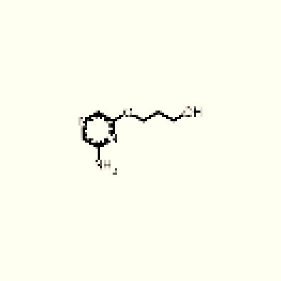 Nc1cncc(OCCCO)n1